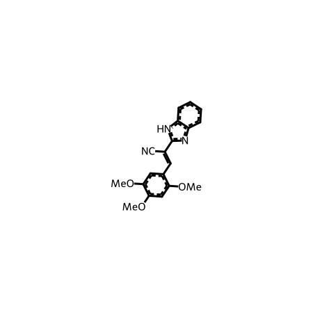 COc1cc(OC)c(OC)cc1C=C(C#N)c1nc2ccccc2[nH]1